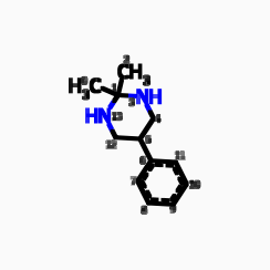 CC1(C)NCC(c2ccccc2)CN1